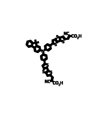 CC1(C)c2ccccc2-c2ccc(N(c3ccc(-c4cc5sc6cc(/C=C(\C#N)C(=O)O)sc6c5s4)cc3)c3ccc(-c4cc5sc6cc(/C=C(\C#N)C(=O)O)sc6c5s4)cc3)cc21